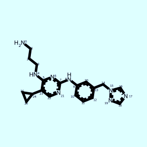 NCCCNc1nc(Nc2cccc(Cn3cncn3)c2)ncc1C1CC1